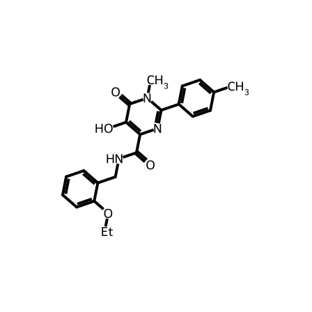 CCOc1ccccc1CNC(=O)c1nc(-c2ccc(C)cc2)n(C)c(=O)c1O